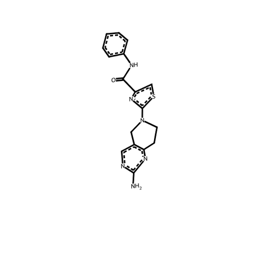 Nc1ncc2c(n1)CCN(c1nc(C(=O)Nc3ccccc3)cs1)C2